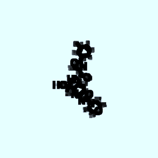 Cc1cccc(-c2nc(C(=O)Nc3cc4oc(N5CCOCC5)nc4nc3C(C)(C)O)co2)c1